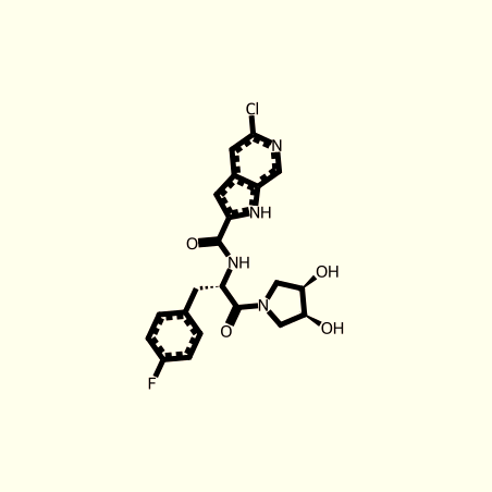 O=C(N[C@@H](Cc1ccc(F)cc1)C(=O)N1C[C@@H](O)[C@@H](O)C1)c1cc2cc(Cl)ncc2[nH]1